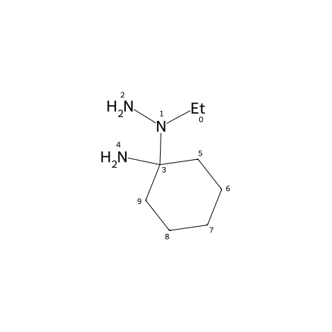 CCN(N)C1(N)CCCCC1